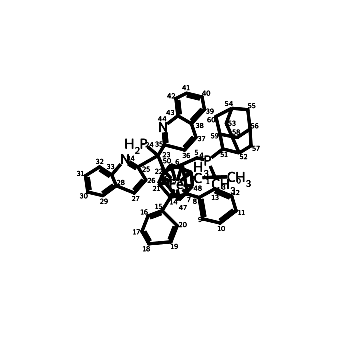 CC(C)(C)P(C[C]12[C]3(c4ccccc4)[C]4(c5ccccc5)[CH]5[C]1(C(P)(c1ccc6ccccc6n1)c1ccc6ccccc6n1)[Fe]54231678[CH]2[CH]1[CH]6[CH]7[CH]28)C1C2CC3CC(C2)CC1C3